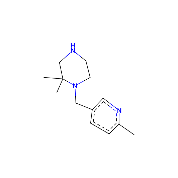 Cc1ccc(CN2CCNCC2(C)C)cn1